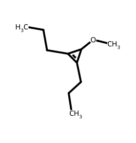 CCCC1=C(CCC)C1OC